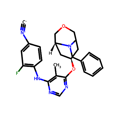 [C-]#[N+]c1ccc(Nc2ncnc(O[C@@H]3CC4COC[C@@H](C3)N4Cc3ccccc3)c2C)c(F)c1